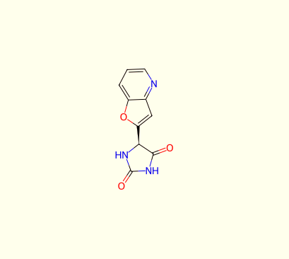 O=C1NC(=O)[C@H](c2cc3ncccc3o2)N1